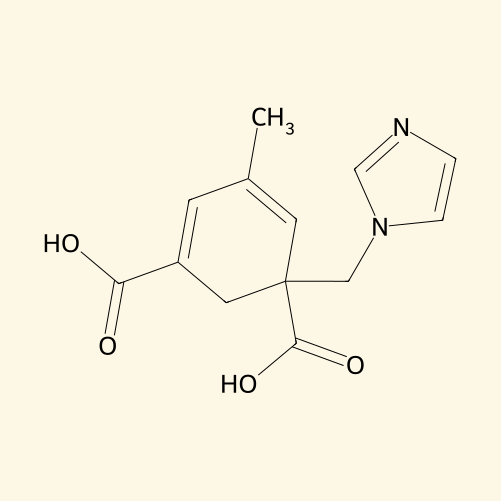 CC1=CC(Cn2ccnc2)(C(=O)O)CC(C(=O)O)=C1